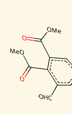 COC(=O)c1cccc([C]=O)c1C(=O)OC